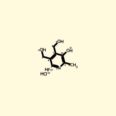 Cc1ncc(CO)c(CO)c1O.Cl.F